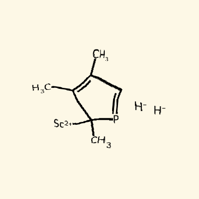 CC1=C(C)[C](C)([Sc+2])P=C1.[H-].[H-]